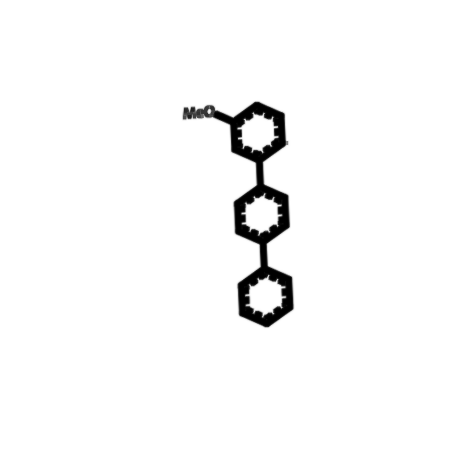 COc1cc[c]c(-c2ccc(-c3ccccc3)cc2)c1